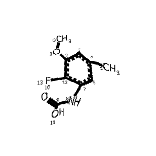 COc1cc(C)cc(NC(=O)O)c1F